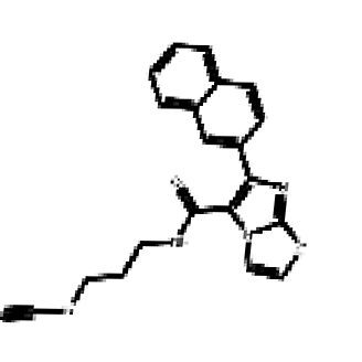 N#CSCCCNC(=O)c1c(-c2ccc3ccccc3c2)nc2occn12